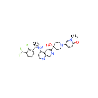 C[C@@H](Nc1ccnc2cnc(C3(O)CCN(c4ccc(=O)n(C)c4)CC3)cc12)c1cccc(C(F)F)c1F